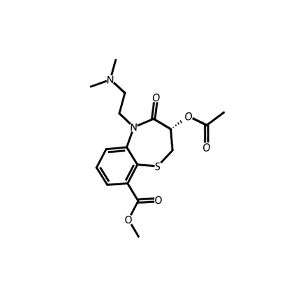 COC(=O)c1cccc2c1SC[C@@H](OC(C)=O)C(=O)N2CCN(C)C